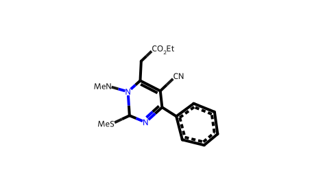 CCOC(=O)CC1=C(C#N)C(c2ccccc2)=NC(SC)N1NC